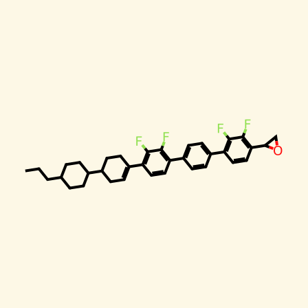 CCCC1CCC(C2CC=C(c3ccc(-c4ccc(-c5ccc(C6CO6)c(F)c5F)cc4)c(F)c3F)CC2)CC1